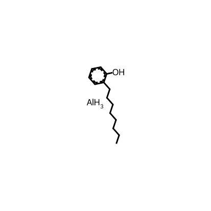 CCCCCCCCc1ccccc1O.[AlH3]